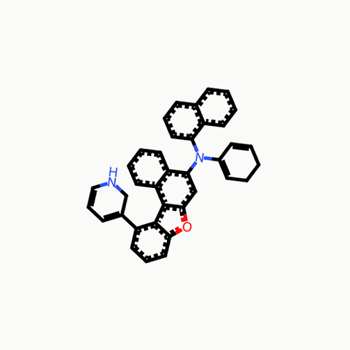 C1=CNCC(c2cccc3oc4cc(N(C5=CCCC=C5)c5cccc6ccccc56)c5ccccc5c4c23)=C1